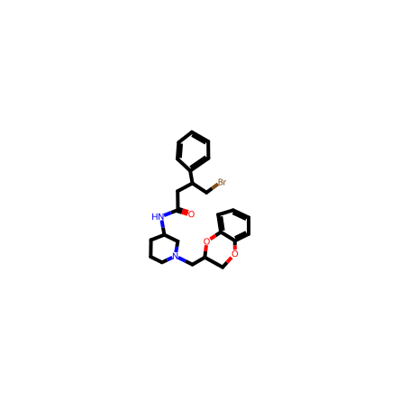 O=C(CC(CBr)c1ccccc1)NC1CCCN(CC2COc3ccccc3O2)C1